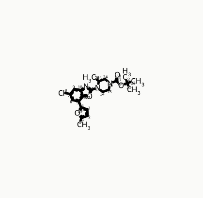 Cc1ccc(-c2cc(Cl)cc3nc(N4CCN(C(=O)OC(C)(C)C)CC4C)oc23)o1